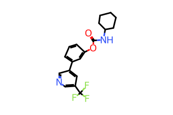 O=C(NC1CCCCC1)Oc1cccc(-c2cncc(C(F)(F)F)c2)c1